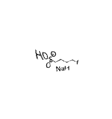 O=S(=O)(O)CCCCI.[NaH]